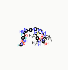 Cc1ncsc1-c1ccc([C@H](C)NC(=O)[C@@H]2C[C@@H](O)CN2C(=O)[C@@H](NC(=O)CN2CCCN(CC3CCN(c4ccc(-c5cnc6[nH]cc(C(=O)c7c(F)ccc(NS(=O)(=O)N8CC[C@@H](F)C8)c7F)c6c5)cc4)CC3)CC2)C(C)(C)C)cc1